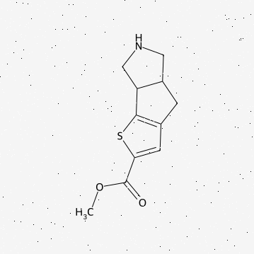 COC(=O)c1cc2c(s1)C1CNCC1C2